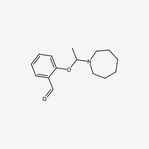 CC(Oc1ccccc1C=O)N1CCCCCC1